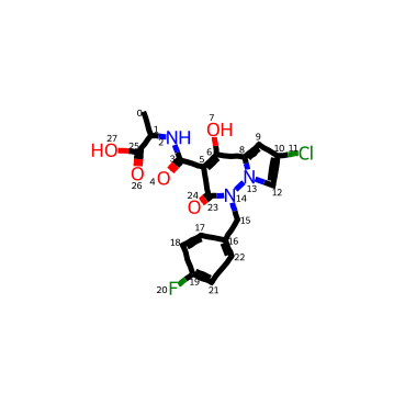 CC(NC(=O)c1c(O)c2cc(Cl)cn2n(Cc2ccc(F)cc2)c1=O)C(=O)O